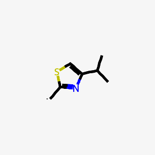 [CH2]c1nc(C(C)C)cs1